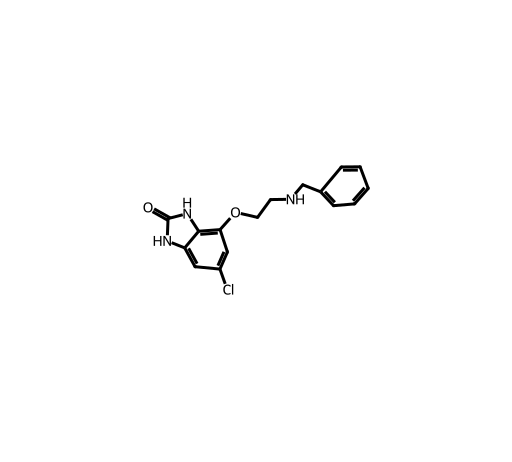 O=c1[nH]c2cc(Cl)cc(OCCNCc3ccccc3)c2[nH]1